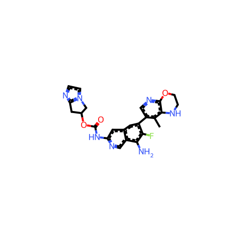 Cc1c(-c2cc3cc(NC(=O)OC4Cc5nccn5C4)ncc3c(N)c2F)cnc2c1NCCO2